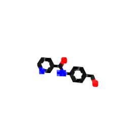 O=Cc1ccc(NC(=O)c2cccnc2)cc1